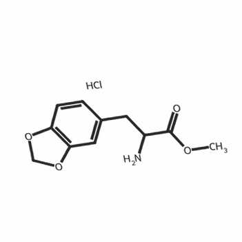 COC(=O)C(N)Cc1ccc2c(c1)OCO2.Cl